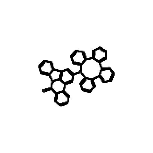 O=c1c2ccccc2c2cc(-n3c4ccccc4c4ccccc4c4ccccc4c4ccccc43)cc3c4ccccc4n1c23